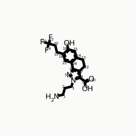 NCCCn1nc2c(c1C(=O)O)CCc1cc(O)c(CCC(F)(F)F)cc1-2